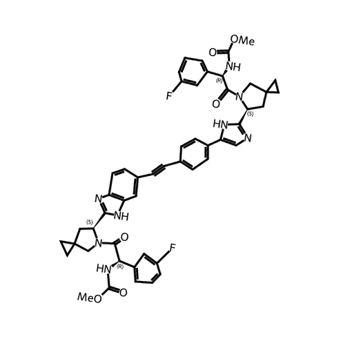 COC(=O)N[C@@H](C(=O)N1CC2(CC2)C[C@H]1c1ncc(-c2ccc(C#Cc3ccc4nc([C@@H]5CC6(CC6)CN5C(=O)[C@H](NC(=O)OC)c5cccc(F)c5)[nH]c4c3)cc2)[nH]1)c1cccc(F)c1